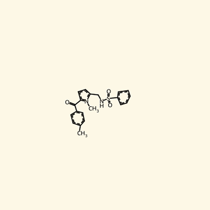 Cc1ccc(C(=O)c2ccc(CNS(=O)(=O)c3ccccc3)n2C)cc1